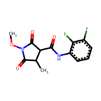 CON1C(=O)C(C)C(C(=O)Nc2cccc(F)c2F)C1=O